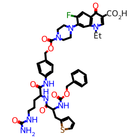 CCn1cc(C(=O)O)c(=O)c2cc(F)c(N3CCN(C(=O)OCc4ccc(NC(=O)C(CCCNC(N)=O)NC(=O)C(Cc5cccs5)NC(=O)OCc5ccccc5)cc4)CC3)cc21